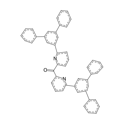 O=C(c1cccc(-c2cc(-c3ccccc3)cc(-c3ccccc3)c2)n1)c1cccc(-c2cc(-c3ccccc3)cc(-c3ccccc3)c2)n1